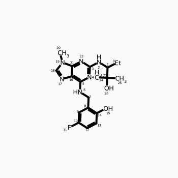 CCC(Nc1nc(NCc2cc(F)ccc2O)c2ncn(C)c2n1)C(C)(C)O